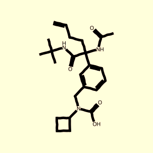 C=CCCC(NC(C)=O)(C(=O)NC(C)(C)C)c1cccc(CN(C(=O)O)C2CCC2)c1